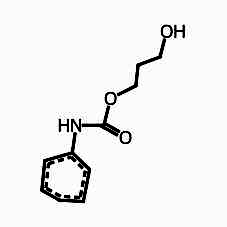 O=C(Nc1ccccc1)OCCCO